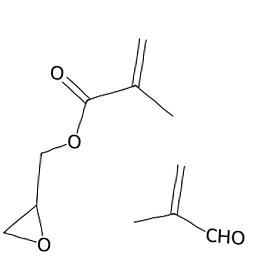 C=C(C)C(=O)OCC1CO1.C=C(C)C=O